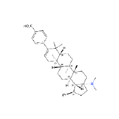 CC(C)[C@@H]1CC[C@]2(N(C)C)CC[C@]3(C)[C@H](CC[C@@H]4[C@@]5(C)CC=C(c6ccc(C(=O)O)cc6)C(C)(C)[C@@H]5CC[C@]43C)[C@@H]12